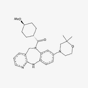 CO[C@H]1CC[C@H](C(=O)N2Cc3cccnc3Nc3ccc(N4CCOC(C)(C)C4)cc32)CC1